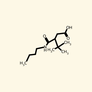 CCCCNC(=O)C(CC(=O)O)C(C)(C)C